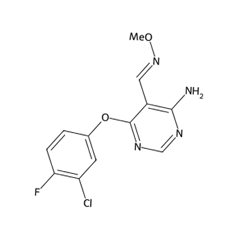 CON=Cc1c(N)ncnc1Oc1ccc(F)c(Cl)c1